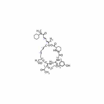 CC(=O)CC[C@H]1C(=O)N[C@@H](C(C)C)C(=O)N[C@@H](Cc2cccc(O)c2)C(=O)N2CCCC(N2)C(=O)O[C@H](/C(C)=C/C=C/C(=O)N(C)C2CCCCC2)C/C=C/C=C/C[C@H](C)[C@H]1O